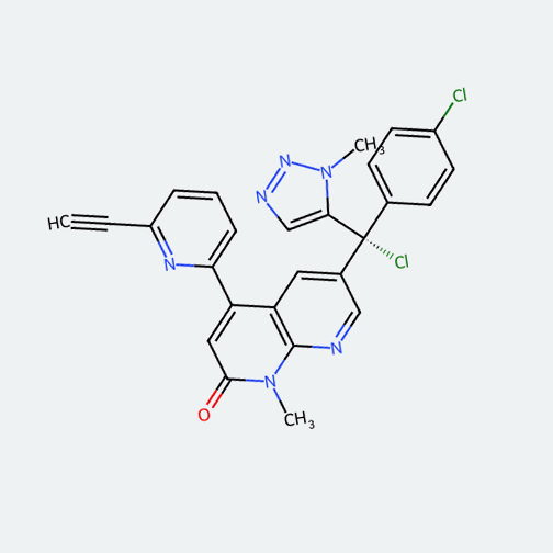 C#Cc1cccc(-c2cc(=O)n(C)c3ncc([C@](Cl)(c4ccc(Cl)cc4)c4cnnn4C)cc23)n1